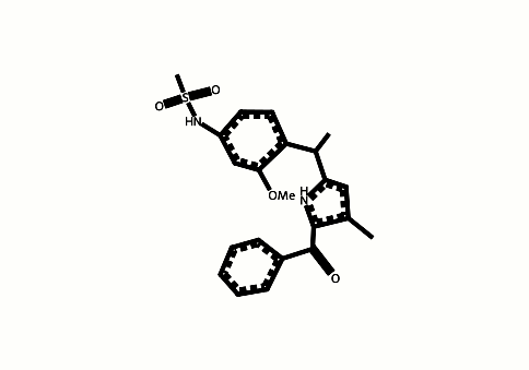 COc1cc(NS(C)(=O)=O)ccc1C(C)c1cc(C)c(C(=O)c2ccccc2)[nH]1